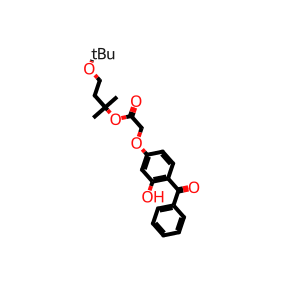 CC(C)(C)OCCC(C)(C)OC(=O)COc1ccc(C(=O)c2ccccc2)c(O)c1